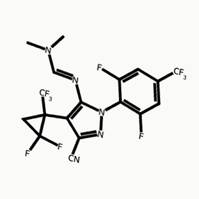 CN(C)C=Nc1c(C2(C(F)(F)F)CC2(F)F)c(C#N)nn1-c1c(F)cc(C(F)(F)F)cc1F